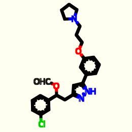 O=COC(Cc1cc(-c2cccc(OCCCN3CCCC3)c2)[nH]n1)c1cccc(Cl)c1